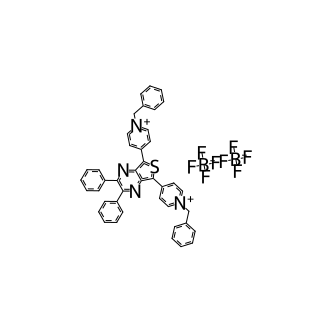 F[B-](F)(F)F.F[B-](F)(F)F.c1ccc(C[n+]2ccc(-c3sc(-c4cc[n+](Cc5ccccc5)cc4)c4nc(-c5ccccc5)c(-c5ccccc5)nc34)cc2)cc1